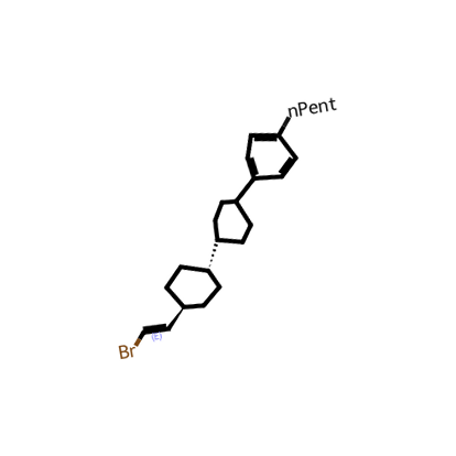 CCCCCc1ccc(C2CCC([C@H]3CC[C@H](/C=C/Br)CC3)CC2)cc1